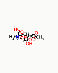 CC1O[C@@H](O[C@@H]2C(C)O[C@@H](O[C@@H]3C(C)O[C@@H](O)C[C@H]3N(C)C)C[C@H]2O)CCC1=O